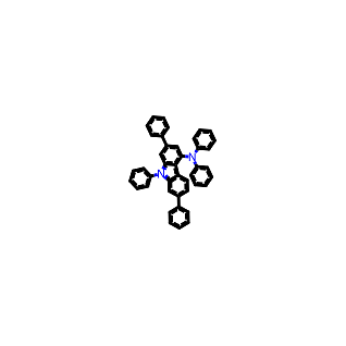 c1ccc(-c2ccc3c4c(N(c5ccccc5)c5ccccc5)cc(-c5ccccc5)cc4n(-c4ccccc4)c3c2)cc1